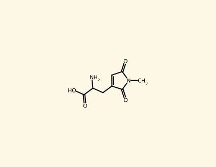 CN1C(=O)C=C(CC(N)C(=O)O)C1=O